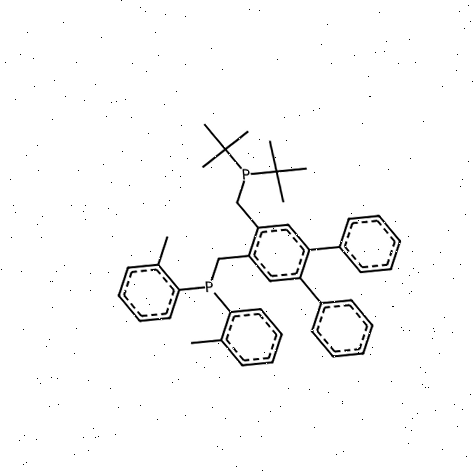 Cc1ccccc1P(Cc1cc(-c2ccccc2)c(-c2ccccc2)cc1CP(C(C)(C)C)C(C)(C)C)c1ccccc1C